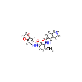 Cc1ccc(NC(=O)c2ccc3c(c2)OCCO3)cc1NC(=O)c1ccc2cnccc2c1